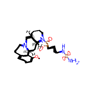 COc1cccc2c1[C@@H]1C[C@@H]3[C@@H](CCCN3S(=O)(=O)CCCNS(N)(=O)=O)CN1CC2